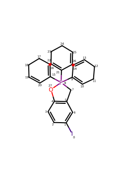 Ic1ccc2c(c1)CP(C1=CCCC=C1)(C1=CCCC=C1)(C1=CCCC=C1)O2